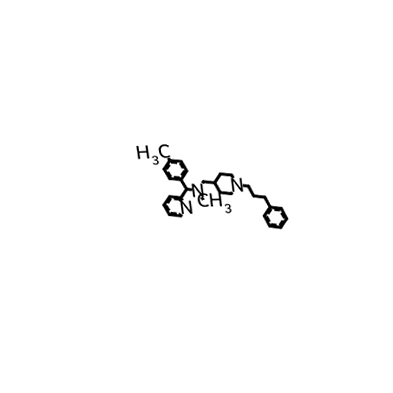 Cc1ccc(C(c2ccccn2)N(C)CC2CCN(CCCc3ccccc3)CC2)cc1